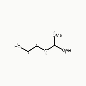 COC(OC)OCCO